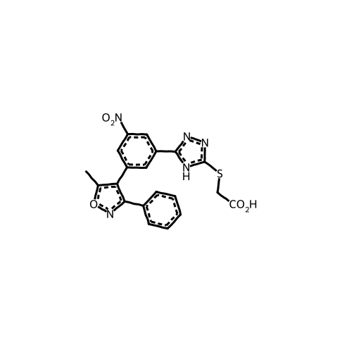 Cc1onc(-c2ccccc2)c1-c1cc(-c2nnc(SCC(=O)O)[nH]2)cc([N+](=O)[O-])c1